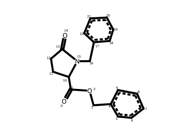 O=C(OCc1ccccc1)C1CCC(=O)N1Cc1ccccc1